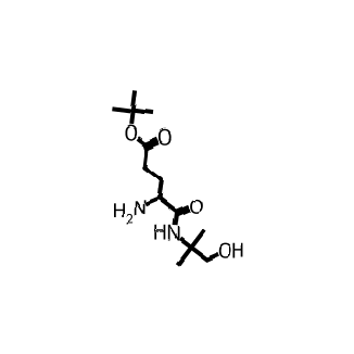 CC(C)(CO)NC(=O)C(N)CCC(=O)OC(C)(C)C